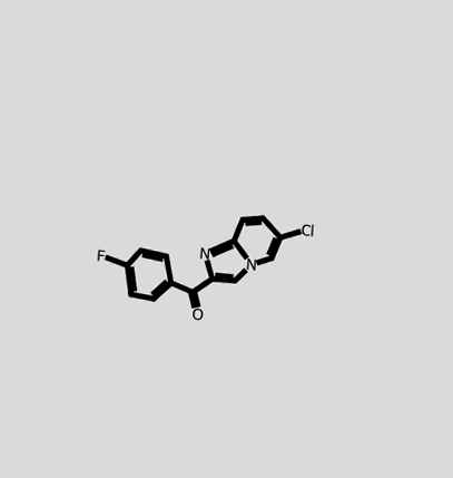 O=C(c1ccc(F)cc1)c1cn2cc(Cl)ccc2n1